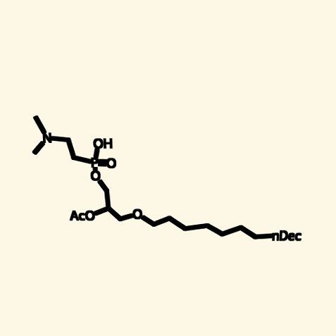 CCCCCCCCCCCCCCCCCOCC(COP(=O)(O)CCN(C)C)OC(C)=O